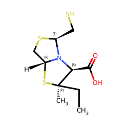 CC[C@@]1(C)S[C@@H]2CS[C@@H](CS)N2[C@H]1C(=O)O